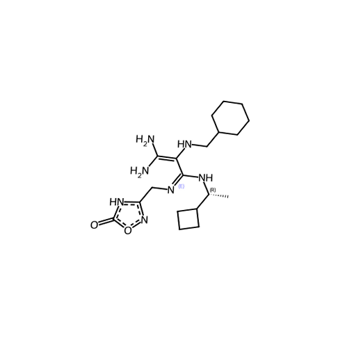 C[C@@H](N/C(=N/Cc1noc(=O)[nH]1)C(NCC1CCCCC1)=C(N)N)C1CCC1